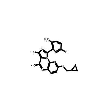 Cc1ccc(Cl)cc1-c1nc(C)c2c(C)nc3ccc(OCC4CC4)nc3n12